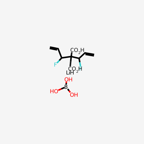 C=CC(F)C(C(=O)O)(C(=O)O)C(F)C=C.OB(O)O.[LiH]